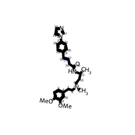 COc1ccc(CCN(C)CCC(C)NC(=O)C/C=C/c2ccc(-n3ccnc3)cc2)cc1OC